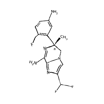 C[C@@]1(c2cc(N)ccc2F)Cn2cc(C(F)F)nc2C(N)=N1